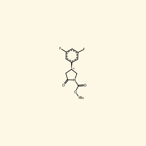 CC(C)(C)OC(=O)N1C[C@H](c2cc(F)cc(F)c2)CC1=O